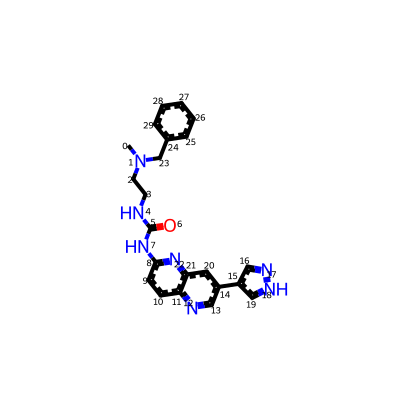 CN(CCNC(=O)Nc1ccc2ncc(-c3cn[nH]c3)cc2n1)Cc1ccccc1